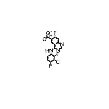 O=[N+]([O-])c1cc2c(Nc3ccc(F)c(Cl)c3F)ncnc2cc1F